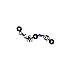 C(=C\c1ccc(-c2nnc(CSCCOc3ccccc3)o2)cc1)/CN1CCN(c2ccccc2)CC1